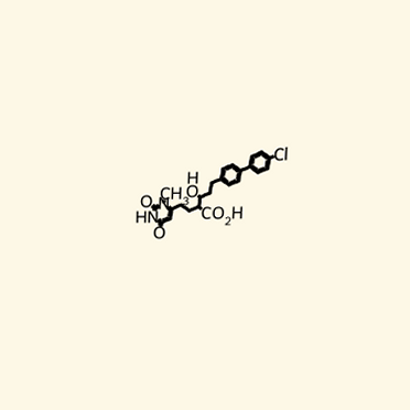 Cn1c(CCC(C(=O)O)C(O)CCc2ccc(-c3ccc(Cl)cc3)cc2)cc(=O)[nH]c1=O